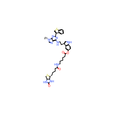 CC(C)n1cnc2c(NCCc3c[nH]c4ccc(OC(=O)CCCCCNC(=O)CCCC[C@@H]5SCC6NC(=O)NC65)cc34)nc(-c3csc4ccccc34)nc21